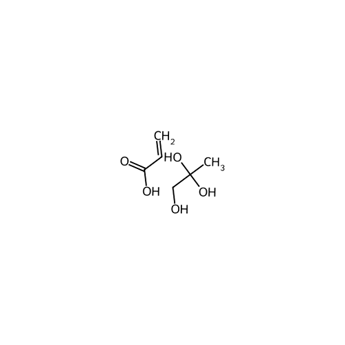 C=CC(=O)O.CC(O)(O)CO